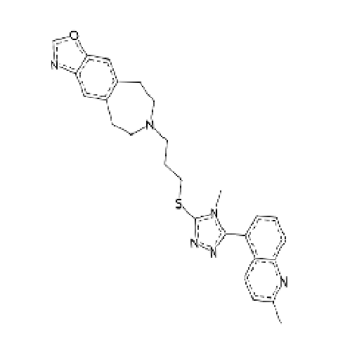 Cc1ccc2c(-c3nnc(SCCCN4CCc5cc6ncoc6cc5CC4)n3C)cccc2n1